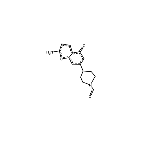 Nc1ccc2c(=O)cc(C3CCN(C=O)CC3)cc-2o1